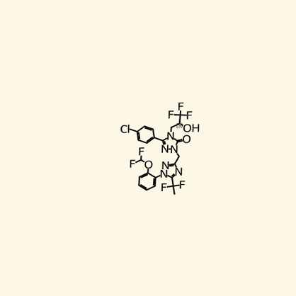 CC(F)(F)c1nc(Cn2nc(-c3ccc(Cl)cc3)n(C[C@H](O)C(F)(F)F)c2=O)nn1-c1ccccc1OC(F)F